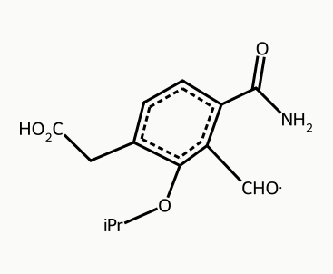 CC(C)Oc1c(CC(=O)O)ccc(C(N)=O)c1[C]=O